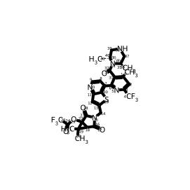 Cc1cc(C(F)(F)F)nc(-c2ccnc3cc(CN4C(=O)C5C(C)(C)C5(OC(=O)C(F)(F)F)C4=O)sc23)c1C(=O)N1[C@H](C)CNC[C@H]1C